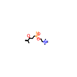 C=C(C)C(=O)CC[PH](=O)OCC[N+](C)(C)C